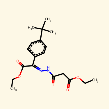 CCOC(=O)CC(=O)N/N=C(/C(=O)OCC)c1ccc(C(C)(C)C)cc1